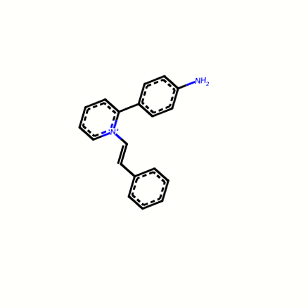 Nc1ccc(-c2cccc[n+]2C=Cc2ccccc2)cc1